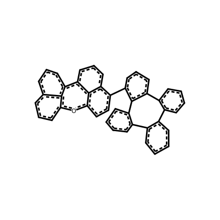 c1ccc2c(c1)-c1ccccc1-c1cccc(-c3ccc4oc5cccc6cccc(c7cccc3c47)c65)c1-c1ccccc1-2